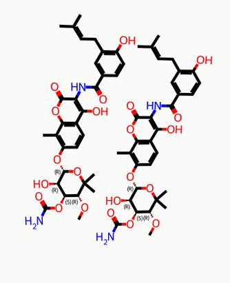 CO[C@@H]1[C@@H](OC(N)=O)[C@@H](O)[C@H](Oc2ccc3c(O)c(NC(=O)c4ccc(O)c(CC=C(C)C)c4)c(=O)oc3c2C)OC1(C)C.CO[C@@H]1[C@@H](OC(N)=O)[C@@H](O)[C@H](Oc2ccc3c(O)c(NC(=O)c4ccc(O)c(CC=C(C)C)c4)c(=O)oc3c2C)OC1(C)C